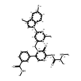 CNC(=O)c1cccc(-c2cnc(NC(=O)C(C)NC)c(=O)n2Cc2cc(-n3cc(C)c4cc(F)ccc43)nc(C)n2)c1